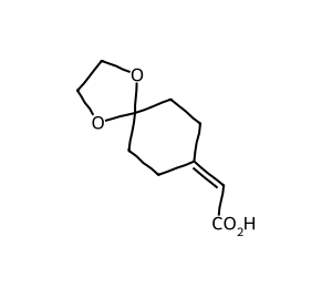 O=C(O)C=C1CCC2(CC1)OCCO2